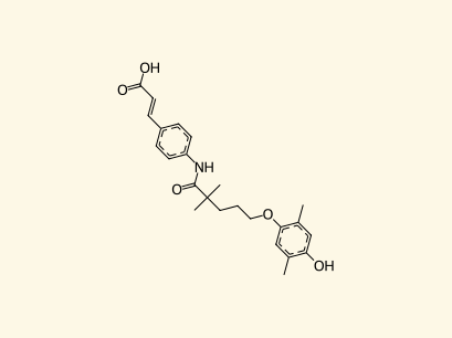 Cc1cc(OCCCC(C)(C)C(=O)Nc2ccc(C=CC(=O)O)cc2)c(C)cc1O